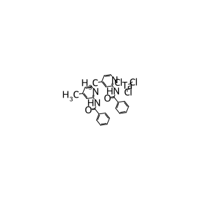 Cc1ccnc(NC(=O)c2ccccc2)c1.Cc1ccnc(NC(=O)c2ccccc2)c1.[Cl][Ta]([Cl])[Cl]